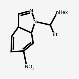 CCCCCCC(CC)N1N=CC2C=CC([N+](=O)[O-])=CC21